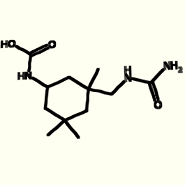 CC1(C)CC(NC(=O)O)CC(C)(CNC(N)=O)C1